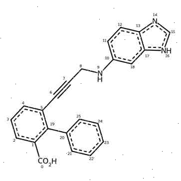 O=C(O)c1cccc(C#CCNc2ccc3nc[nH]c3c2)c1-c1ccccc1